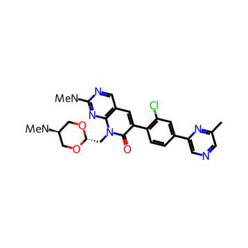 CNc1ncc2cc(-c3ccc(-c4cncc(C)n4)cc3Cl)c(=O)n(C[C@H]3OC[C@H](NC)CO3)c2n1